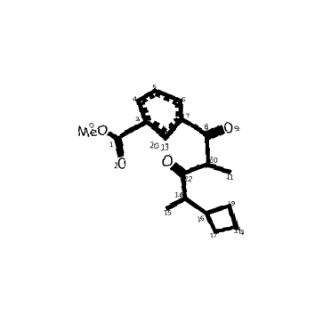 COC(=O)c1cccc(C(=O)C(C)C(=O)C(C)C2CCC2)c1